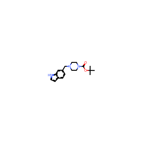 CC(C)(C)OC(=O)N1CCN(Cc2ccc3cc[nH]c3c2)CC1